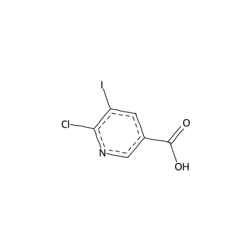 O=C(O)c1cnc(Cl)c(I)c1